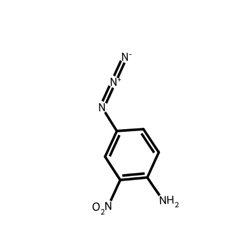 [N-]=[N+]=Nc1ccc(N)c([N+](=O)[O-])c1